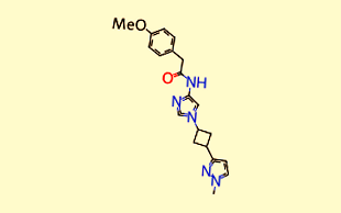 COc1ccc(CC(=O)Nc2cn(C3CC(c4ccn(C)n4)C3)cn2)cc1